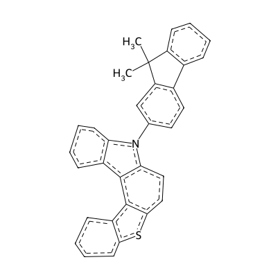 CC1(C)c2ccccc2-c2ccc(-n3c4ccccc4c4c5c(ccc43)sc3ccccc35)cc21